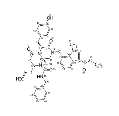 C=CCN1CC(=O)N2[C@@H](Cc3ccc(O)cc3)C(=O)N(Cc3cccc4c(C(=O)OC)cn(C)c34)C[C@@H]2N1C(=O)NCc1ccccc1